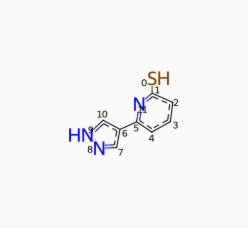 Sc1cccc(-c2cn[nH]c2)n1